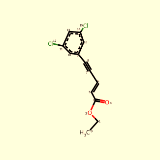 CCOC(=O)/C=C/C#Cc1cc(Cl)cc(Cl)c1